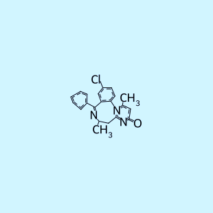 Cc1cc(=O)nc2n1-c1ccc(Cl)cc1C(c1ccccc1)=NC(C)C2